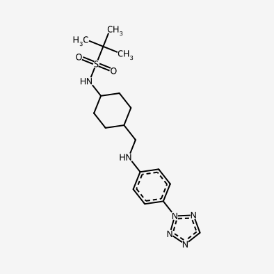 CC(C)(C)S(=O)(=O)NC1CCC(CNc2ccc(-n3ncnn3)cc2)CC1